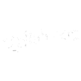 COc1ccc(CCCNC(=S)N2CC3CC2[C@H]2C(=O)N(c4cnc(C#N)c5ccccc45)C(=O)N32)cc1OC